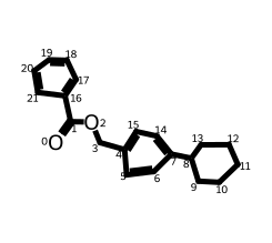 O=C(OCc1ccc(C2CCCCC2)cc1)c1ccccc1